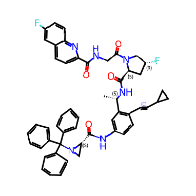 C[C@H](NC(=O)[C@@H]1C[C@@H](F)CN1C(=O)CNC(=O)c1ccc2cc(F)ccc2n1)c1cc(NC(=O)[C@@H]2CN2C(c2ccccc2)(c2ccccc2)c2ccccc2)ccc1/C=C/C1CC1